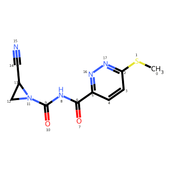 CSc1ccc(C(=O)NC(=O)N2CC2C#N)nn1